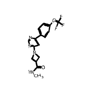 CNC(=O)C1CN(c2cc(-c3ccc(OC(F)(F)F)cc3)ncn2)C1